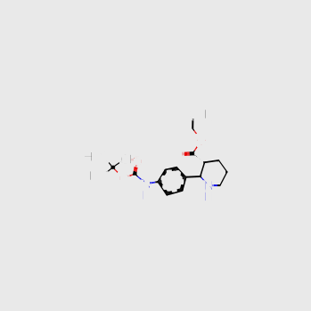 CCOC(=O)[C@H]1CCCNC1c1ccc(NC(=O)OC(C)(C)C)cc1